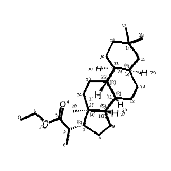 CCOC(=O)C(C)[C@H]1CC[C@H]2[C@@H]3CC[C@@H]4CC(C)(C)CC[C@@H]4[C@H]3CC[C@]12C